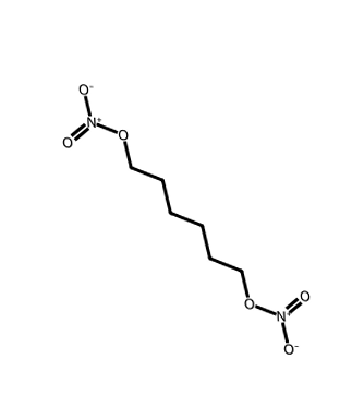 O=[N+]([O-])OCCCCCCO[N+](=O)[O-]